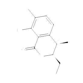 CC[C@H]1OC(=O)c2c(ccc(C)c2O)[C@H]1C